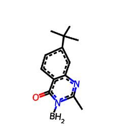 Bn1c(C)nc2cc(C(C)(C)C)ccc2c1=O